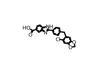 O=C(O)c1ccc2[nH]c(-c3ccc(Cc4cc5c(cc4Cl)OCO5)cc3)nc2c1